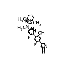 CN(c1cc(F)c(-c2cc(F)c(-c3cn[nH]c3)cc2O)nn1)C1C[C@]2(C)CCC[C@](C)(C1)N2